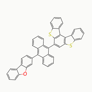 c1ccc2c(c1)oc1cc(-c3c4ccccc4c(-c4cc5sc6ccccc6c5c5c4sc4ccccc45)c4ccccc34)ccc12